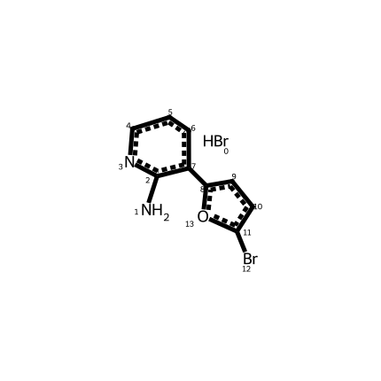 Br.Nc1ncccc1-c1ccc(Br)o1